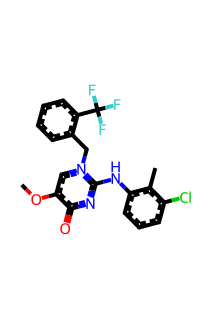 COc1cn(Cc2ccccc2C(F)(F)F)c(Nc2cccc(Cl)c2C)nc1=O